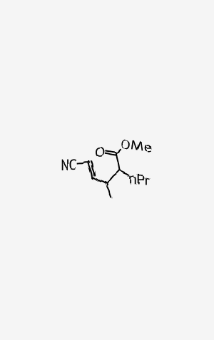 CCCC(C(=O)OC)C(C)/C=C/C#N